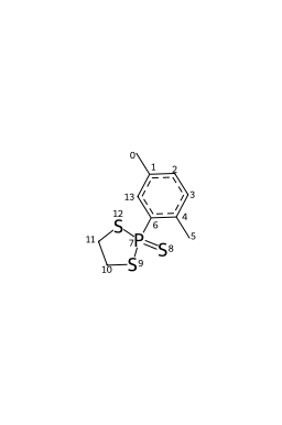 Cc1ccc(C)c(P2(=S)SCCS2)c1